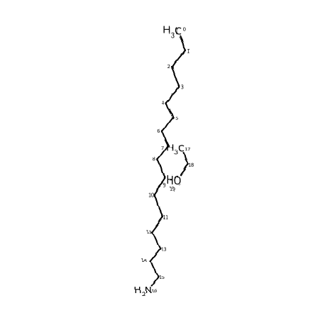 CCCCCCCCCCCCCCCCN.CCO